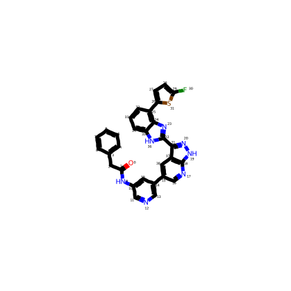 O=C(Cc1ccccc1)Nc1cncc(-c2cnc3[nH]nc(-c4nc5c(-c6ccc(F)s6)cccc5[nH]4)c3c2)c1